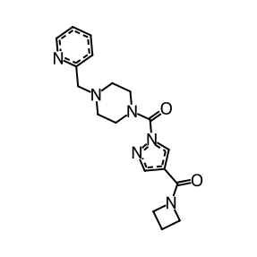 O=C(c1cnn(C(=O)N2CCN(Cc3ccccn3)CC2)c1)N1CCC1